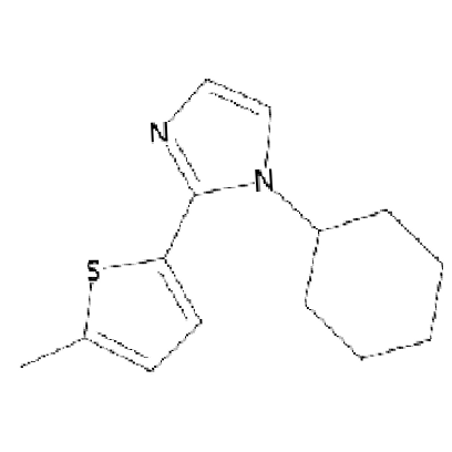 Cc1ccc(-c2nccn2C2CCCCC2)s1